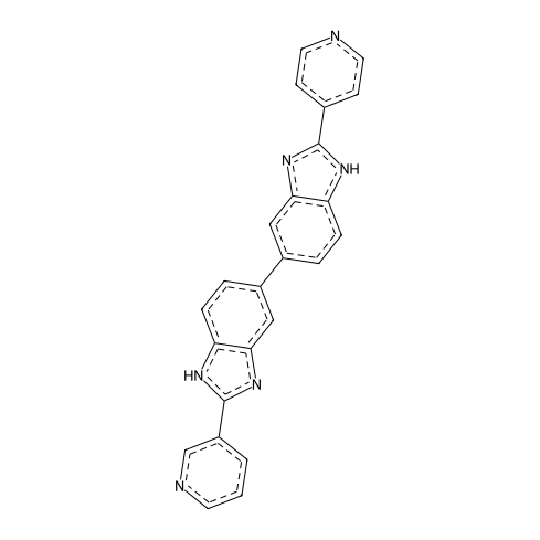 c1cncc(-c2nc3cc(-c4ccc5[nH]c(-c6ccncc6)nc5c4)ccc3[nH]2)c1